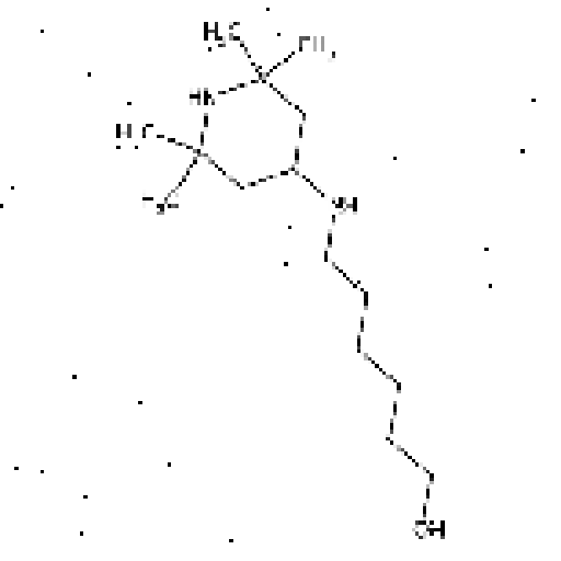 CC1(C)CC(NCCCCCCO)CC(C)(C)N1